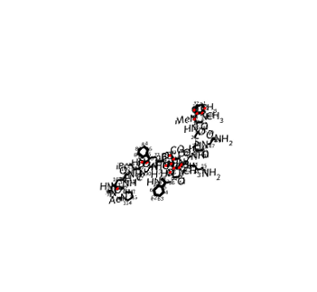 CCCC[C@@H](C(=O)N(C)[C@@H](CCCC)C(=O)N[C@@H](CCCCN)C(=O)N[C@@H](CSCC(=O)N[C@@H](Cc1ccccc1)C(=O)N(C)[C@@H](C)C(=O)NC)C(=O)NCC(N)=O)N(C)C(=O)[C@H](Cc1c[nH]c2ccccc12)NC(=O)[C@H](CCC(=O)O)NC(=O)[C@H](Cc1c[nH]c2ccccc12)NC(=O)CN(C)C(=O)[C@H](CC(C)C)NC(=O)[C@H](Cc1cnc[nH]1)NC(=O)[C@@H]1CCCN1C(C)=O